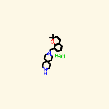 CC1(C)C=Cc2cccc(CN3CCC4(CCNCC4)CC3)c2O1.Cl.Cl